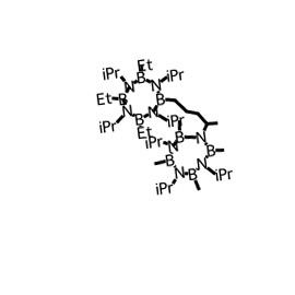 CCB1N(C(C)C)B(CC)N(C(C)C)B(CCCC(C)N2B(C)N(C(C)C)B(C)N(C(C)C)B(C)N(C(C)C)B2C)N(C(C)C)B(CC)N1C(C)C